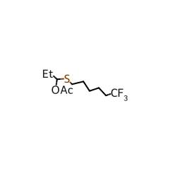 CCC(OC(C)=O)SCCCCCC(F)(F)F